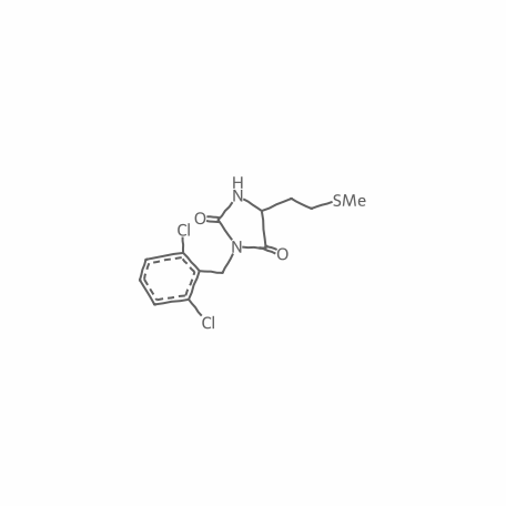 CSCCC1NC(=O)N(Cc2c(Cl)cccc2Cl)C1=O